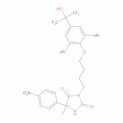 CCCc1cc(C(O)(C(F)(F)F)C(F)(F)F)cc(CCC)c1OCCCCN1C(=O)NC(C)(c2ccc([N+](=O)[O-])cc2)C1=O